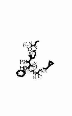 C\C=C(/N=C(C)/C=C\C(=C/CCC)C(=N)/C(CC)=C(/NC(=O)N[C@@H](CC)CNCCC1CC1)Nc1ccccc1)C(N)=O